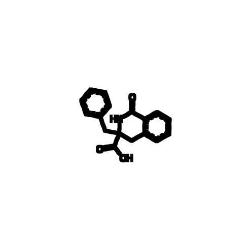 O=C1NC(Cc2ccccc2)(C(=O)O)Cc2ccccc21